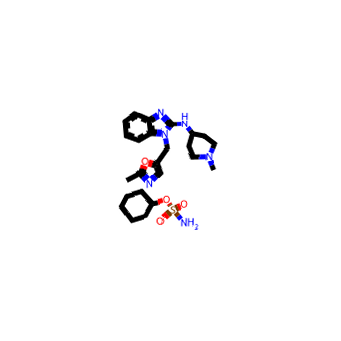 Cc1ncc(Cn2c(NC3CCN(C)CC3)nc3ccccc32)o1.NS(=O)(=O)OC1CCCCC1